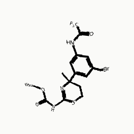 CC(C)(C)OC(=O)NC1=NC(C)(c2cc(Br)cc(NC(=O)C(F)(F)F)c2)CCS1